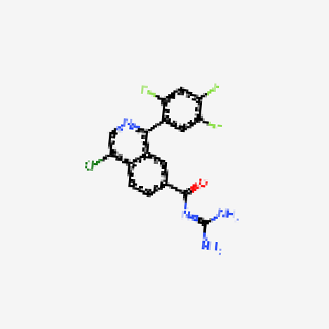 NC(N)=NC(=O)c1ccc2c(Cl)cnc(-c3cc(F)c(F)cc3F)c2c1